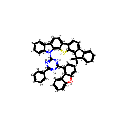 CC1(C)c2ccccc2-c2ccc3c(sc4c3ccc3c5ccccc5n(-c5nc(-c6ccccc6)nc(-c6cccc7oc8ccccc8c67)n5)c34)c21